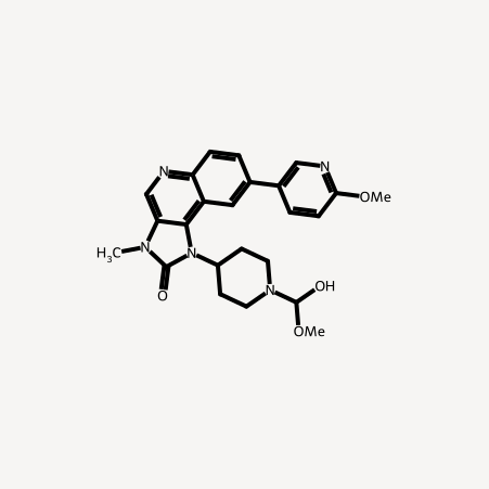 COc1ccc(-c2ccc3ncc4c(c3c2)n(C2CCN(C(O)OC)CC2)c(=O)n4C)cn1